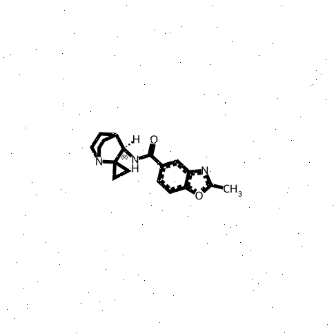 Cc1nc2cc(C(=O)N[C@@H]3C4CCN(CC4)C34CC4)ccc2o1